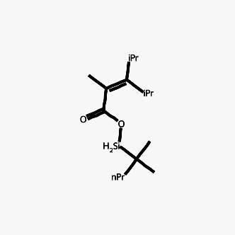 CCCC(C)(C)[SiH2]OC(=O)C(C)=C(C(C)C)C(C)C